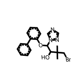 CC(C)(CBr)C(O)C(Oc1ccccc1-c1ccccc1)n1cncn1